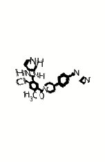 C1=CN=C1.Cc1cc(Cl)c(C2NC3=C(CNC=C3)N2)cc1C(=O)N1CCC(c2ccc(C#N)cc2)CC1